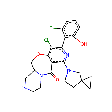 O=C1c2c(N3CCC4(CC4)C3)nc(-c3c(O)cccc3F)c(Cl)c2OCC2CNCCN12